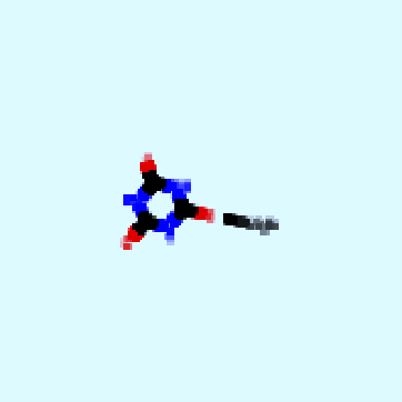 CCOC(C)=O.O=c1[nH]c(=O)[nH]c(=O)[nH]1